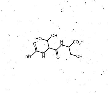 CCCC(=O)NC(C(=O)NC(CO)C(=O)O)C(O)O